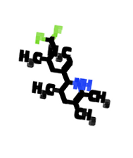 C/C=C(\CC(C)CC(F)F)C1NC(C)=C(C)CC1C